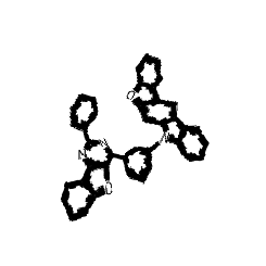 c1ccc(-c2nc(-c3cccc(-n4c5ccccc5c5cc6c(cc54)oc4ccccc46)c3)c3oc4ccccc4c3n2)cc1